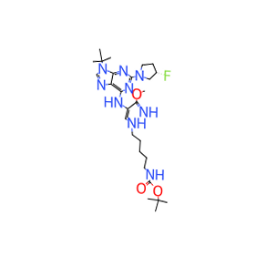 COC(=N)/C(=C\NCCCCCNC(=O)OC(C)(C)C)Nc1nc(N2CC[C@H](F)C2)nc2c1ncn2C(C)(C)C